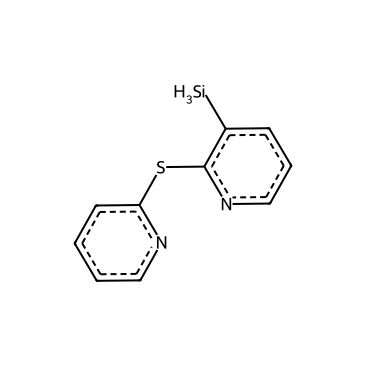 [SiH3]c1cccnc1Sc1ccccn1